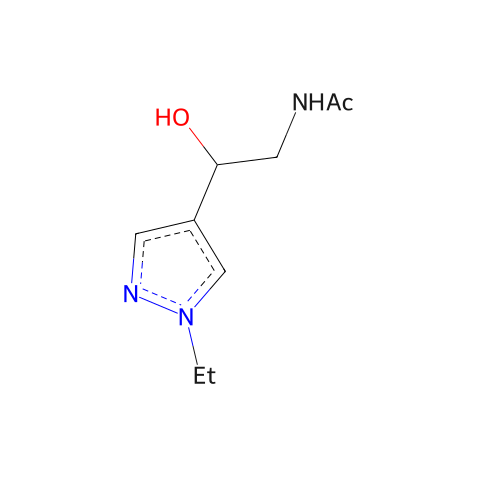 CCn1cc(C(O)CNC(C)=O)cn1